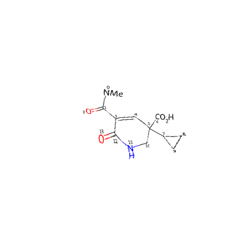 CNC(=O)C1=CC(C(=O)O)(C2CC2)CNC1=O